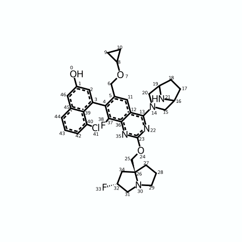 Oc1cc(-c2c(COC3CC3)cc3c(N4CC5CCC(C4)N5)nc(OC[C@@]45CCCN4C[C@H](F)C5)nc3c2F)c2c(Cl)cccc2c1